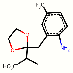 CC(C(=O)O)C1(Cc2cc(C(F)(F)F)ccc2N)OCCO1